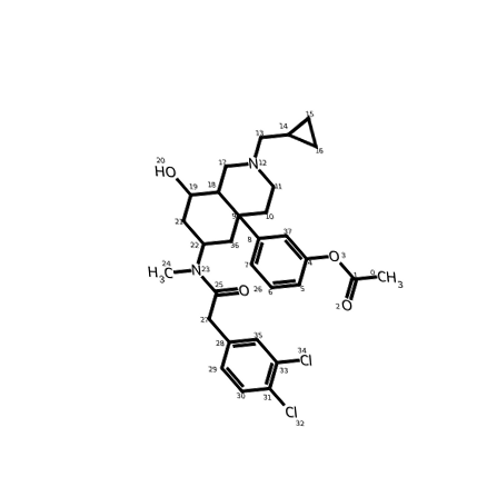 CC(=O)Oc1cccc(C23CCN(CC4CC4)CC2C(O)CC(N(C)C(=O)Cc2ccc(Cl)c(Cl)c2)C3)c1